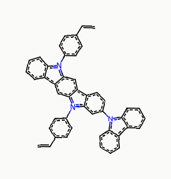 C=Cc1ccc(-n2c3ccccc3c3cc4c(cc32)c2ccc(-n3c5ccccc5c5ccccc53)cc2n4-c2ccc(C=C)cc2)cc1